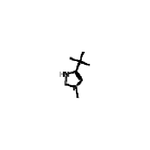 CN1C=C(C(C)(C)C)NC1